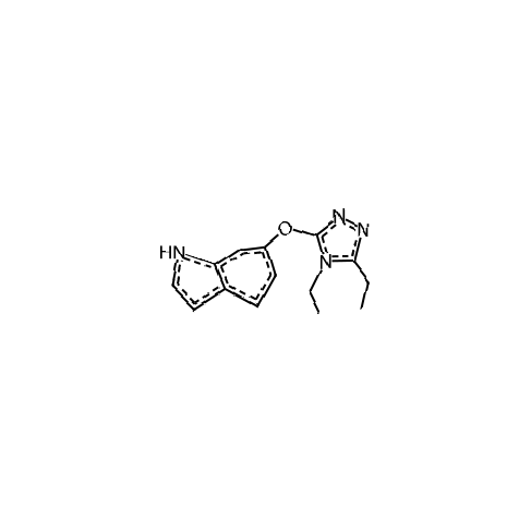 CCc1nnc(Oc2ccc3cc[nH]c3c2)n1CC